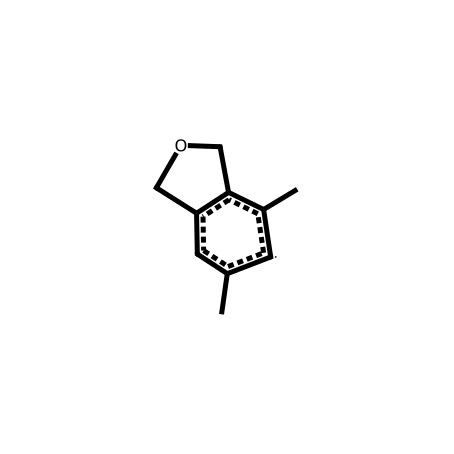 Cc1[c]c(C)c2c(c1)COC2